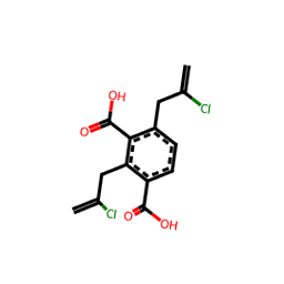 C=C(Cl)Cc1ccc(C(=O)O)c(CC(=C)Cl)c1C(=O)O